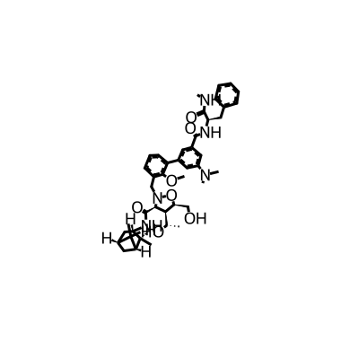 CNC(=O)[C@@H](Cc1ccccc1)NC(=O)c1cc(-c2cccc(CN3O[C@@H](CO)[C@@H]([C@H](C)O)[C@H]3C(=O)N[C@H]3C[C@H]4C[C@@H]([C@@H]3C)C4(C)C)c2OC)cc(N(C)C)c1